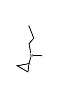 C[CH]CN(C)C1CC1